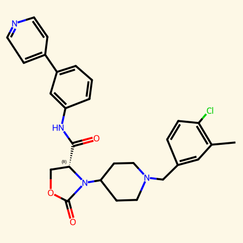 Cc1cc(CN2CCC(N3C(=O)OC[C@@H]3C(=O)Nc3cccc(-c4ccncc4)c3)CC2)ccc1Cl